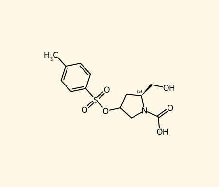 Cc1ccc(S(=O)(=O)OC2C[C@@H](CO)N(C(=O)O)C2)cc1